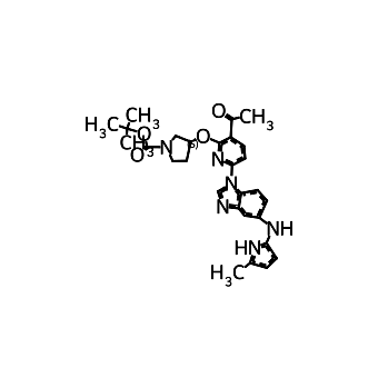 CC(=O)c1ccc(-n2cnc3cc(Nc4ccc(C)[nH]4)ccc32)nc1O[C@H]1CCN(C(=O)OC(C)(C)C)C1